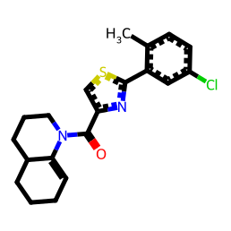 Cc1ccc(Cl)cc1-c1nc(C(=O)N2CCCC3CCCC=C32)cs1